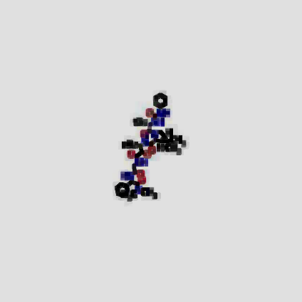 CCCCC(NC(=O)[C@@H]1[C@H]2[C@@H](CN1C(=O)[C@@H](NC(=O)Nc1ccccc1)C(C)(C)C)C2(C)C)C(=O)C(=O)NCC(=O)N[C@H](C(=O)N(C)C)c1ccccc1